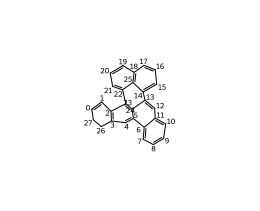 C1=Cc2c(cc3c4ccccc4cc4c5cccc6cccc(c2c34)c65)CC1